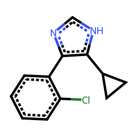 Clc1ccccc1-c1nc[nH]c1C1CC1